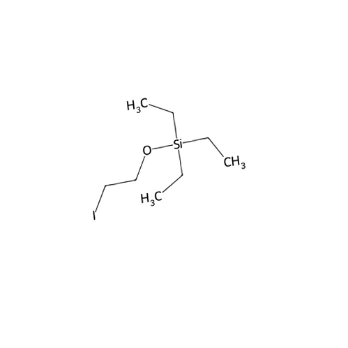 CC[Si](CC)(CC)OCCI